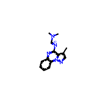 Cc1cnn2c1c(/N=C/N(C)C)nc1ccccc12